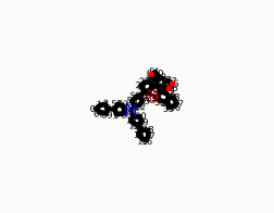 c1ccc(-c2ccc(N(c3ccc(-c4ccccc4)cc3)c3ccc(-c4cccc5c4Oc4cc6ccccc6cc4C54c5ccccc5-c5ccccc54)cc3)cc2)cc1